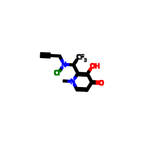 C#CCN(Cl)C(c1c(O)c(=O)ccn1C)C(F)(F)F